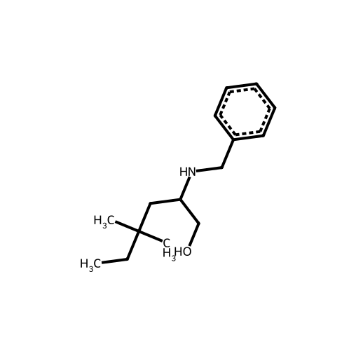 CCC(C)(C)CC(CO)NCc1ccccc1